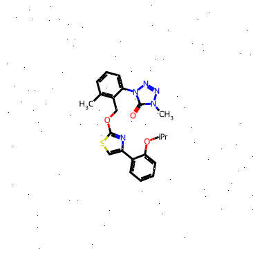 Cc1cccc(-n2nnn(C)c2=O)c1COc1nc(-c2ccccc2OC(C)C)cs1